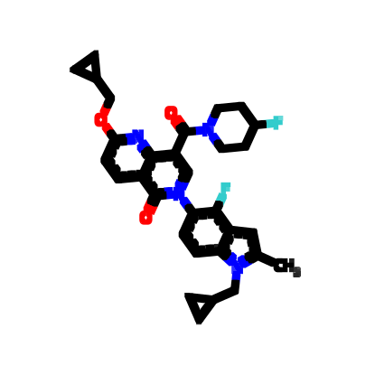 Cc1cc2c(F)c(-n3cc(C(=O)N4CCC(F)CC4)c4nc(OCC5CC5)ccc4c3=O)ccc2n1CC1CC1